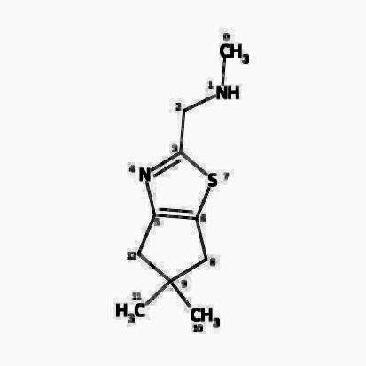 CNCc1nc2c(s1)CC(C)(C)C2